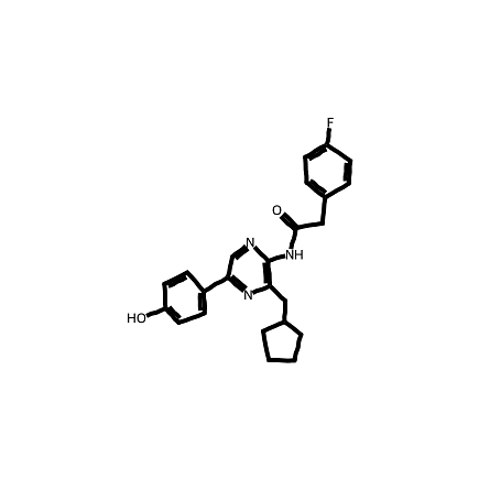 O=C(Cc1ccc(F)cc1)Nc1ncc(-c2ccc(O)cc2)nc1CC1CCCC1